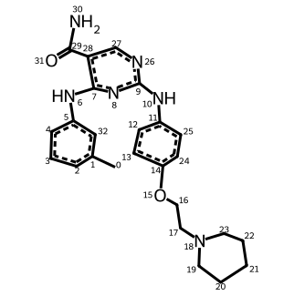 Cc1cccc(Nc2nc(Nc3ccc(OCCN4CCCCC4)cc3)ncc2C(N)=O)c1